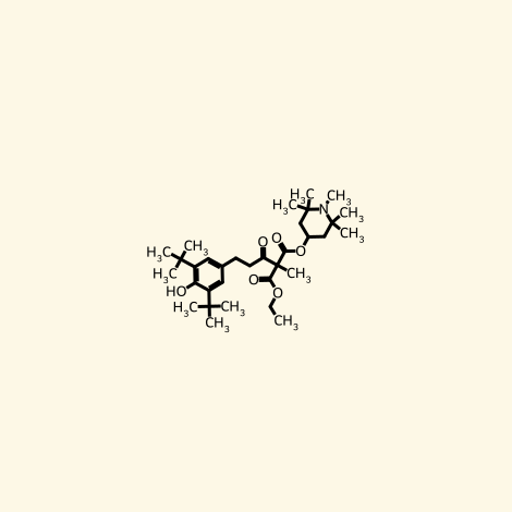 CCOC(=O)C(C)(C(=O)CCc1cc(C(C)(C)C)c(O)c(C(C)(C)C)c1)C(=O)OC1CC(C)(C)N(C)C(C)(C)C1